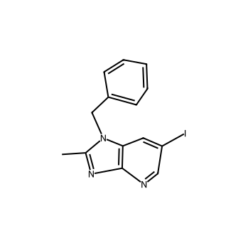 Cc1nc2ncc(I)cc2n1Cc1ccccc1